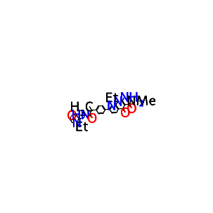 CCN1CCOCC1CNC(=O)C(C)c1ccc(-c2ccc3c(=O)c(C(=O)NC)c(N)n(CC)c3n2)cc1